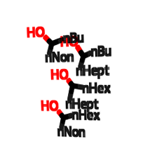 CCCCCCCC(O)CCCC.CCCCCCCC(O)CCCCCC.CCCCCCCCCC(O)CCCC.CCCCCCCCCC(O)CCCCCC